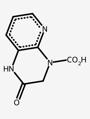 O=C1CN(C(=O)O)c2ncccc2N1